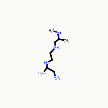 CNC(C)CNCCNC(C)CN